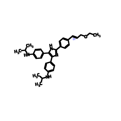 CCOC/C=C/c1ccc(-c2nc(-c3ccc(NC(C)C)cc3)c(-c3ccc(NC(C)C)cc3)[nH]2)cc1